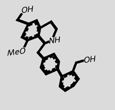 COc1cc(CO)cc2c1C(Cc1ccc(-c3ccccc3CO)cc1)NCC2